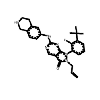 C=CCn1c(=O)c2cnc(Nc3ccc4c(c3)CCNC4)nc2n1-c1cccc(C(C)(C)C)c1F